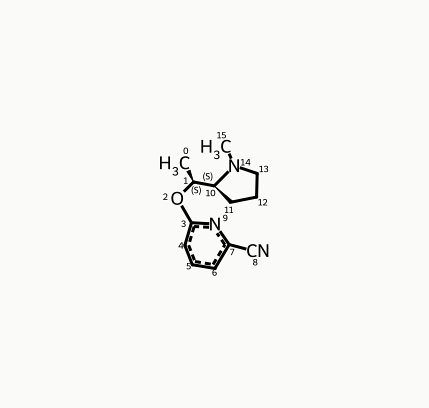 C[C@H](Oc1cccc(C#N)n1)[C@@H]1CCCN1C